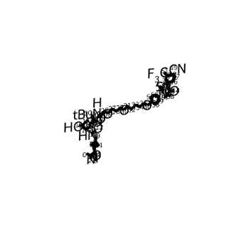 Cc1ncoc1C12CC(CNC(=O)[C@@H]3C[C@@H](O)CN3C(=O)[C@@H](NC(=O)COCCCOCCCCCOc3ccc(N4C(=S)N(c5ccc(C#N)c(C(F)(F)F)c5)C(=O)C4(C)C)cc3)C(C)(C)C)(C1)C2